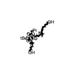 CC(C)C[C@H]1ON(C(=O)/C=C/c2nc(C#CCCCCCO)cs2)C2=CN(C3CN(CCCCO)C3)C(=O)[C@H](CC(C)(C)C)N2C1=O